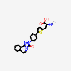 [C-]#[N+]/C(=C/c1ccc(-c2ccc(-n3nc4c5ccccc5ccn4c3=O)cc2)s1)C(=O)O